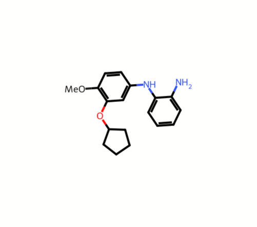 COc1ccc(Nc2ccccc2N)cc1OC1CCCC1